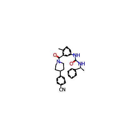 Cc1ccc(NC(=O)N[C@@H](C)c2ccccc2)cc1C(=O)N1CCC(c2ccc(C#N)cc2)CC1